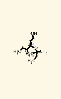 CCC(C)/C(=C/CO)SC(C)(C)CC